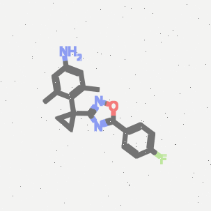 Cc1cc(N)cc(C)c1C1(c2noc(-c3ccc(F)cc3)n2)CC1